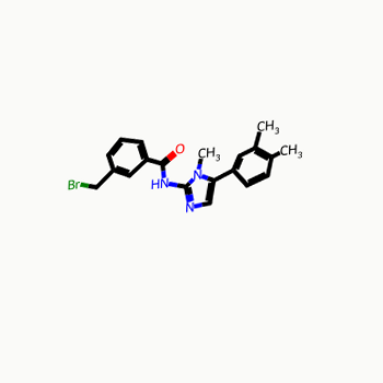 Cc1ccc(-c2cnc(NC(=O)c3cccc(CBr)c3)n2C)cc1C